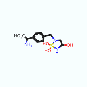 NC(C(=O)O)c1ccc(CN2CC(O)NS2(O)O)cc1